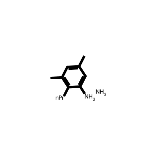 CCCc1c(C)cc(C)cc1N.N